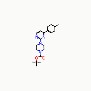 CC1CC=C(c2ccnc(N3CCN(C(=O)OC(C)(C)C)CC3)n2)CC1